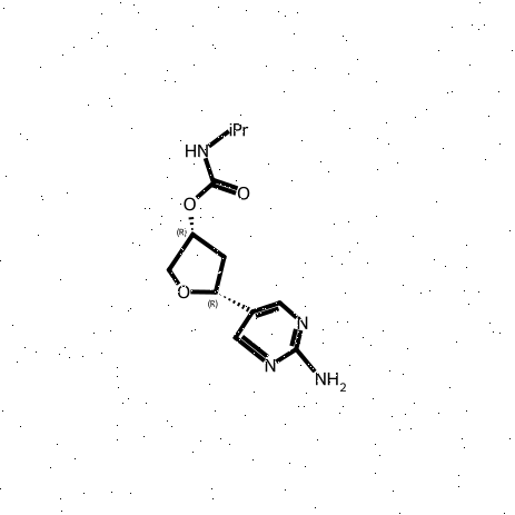 CC(C)NC(=O)O[C@H]1CO[C@@H](c2cnc(N)nc2)C1